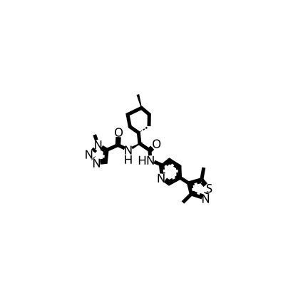 Cc1nsc(C)c1-c1ccc(NC(=O)[C@@H](NC(=O)c2cnnn2C)[C@H]2CC[C@H](C)CC2)nc1